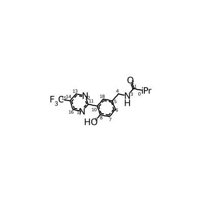 CC(C)C(=O)NCc1ccc(O)c(-c2ncc(C(F)(F)F)cn2)c1